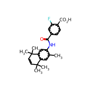 Cc1cc2c(cc1NC(=O)c1ccc(C(=O)O)c(F)c1)C(C)(C)C=CC2(C)C